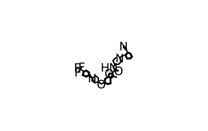 Cc1c(C(=O)NC2CCN(Cc3ccccc3C#N)CC2)oc2cc(OC3CCN(c4ccc(C(F)(F)F)cc4)CC3)ccc12